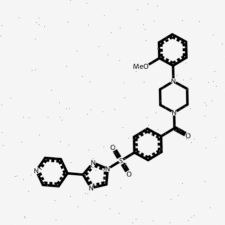 COc1ccccc1N1CCN(C(=O)c2ccc(S(=O)(=O)n3cnc(-c4ccncc4)n3)cc2)CC1